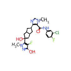 Cn1cnc(C2CC3CC(O)(c4c(F)c(O)nn4C)CC3C2)c1C(=O)Nc1ccc(F)c(Cl)c1